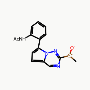 CC(=O)Nc1ccccc1-c1ccc2cnc([S+](C)[O-])nn12